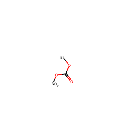 CCOC(=O)O[N+](=O)[O-]